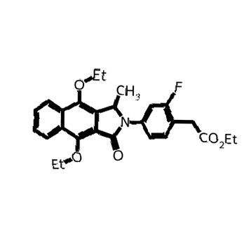 CCOC(=O)Cc1ccc(N2C(=O)c3c(c(OCC)c4ccccc4c3OCC)C2C)cc1F